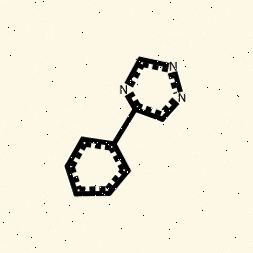 [c]1nncc(-c2ccccc2)n1